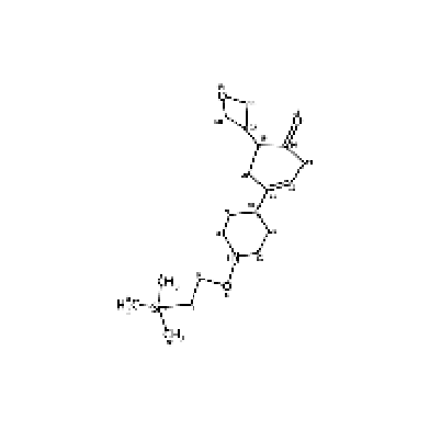 C[Si](C)(C)CCON1CCC(C2=CCC(=O)C(C3COC3)C2)CC1